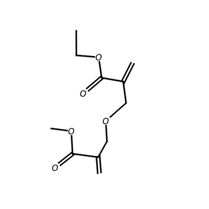 C=C(COCC(=C)C(=O)OCC)C(=O)OC